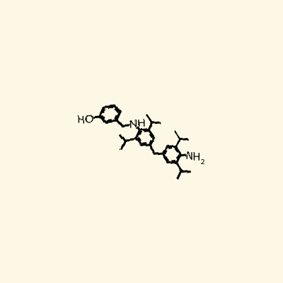 CC(C)c1cc(Cc2cc(C(C)C)c(NCc3cccc(O)c3)c(C(C)C)c2)cc(C(C)C)c1N